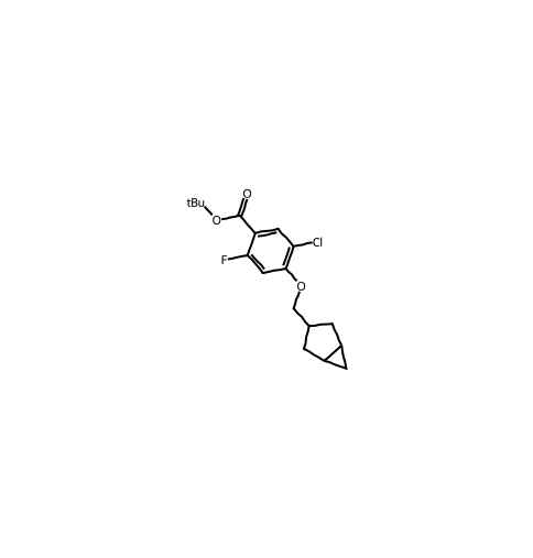 CC(C)(C)OC(=O)c1cc(Cl)c(OCC2CC3CC3C2)cc1F